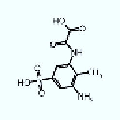 Cc1c(N)cc(S(=O)(=O)O)cc1NC(=O)C(=O)O